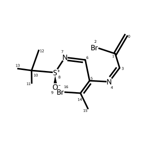 C=C(Br)\C=N/C(/C=N\[S@@+]([O-])C(C)(C)C)=C(\C)Br